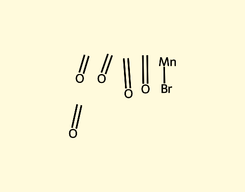 C=O.C=O.C=O.C=O.C=O.[Mn][Br]